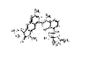 CO[C@]1(C)C(=O)N(C)c2cc3c(N[C@H](C)c4cccc(C(F)(F)C(C)(O)CN(C)C)c4F)nc(C)nc3cc21